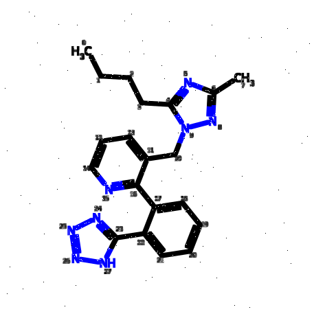 CCCCc1nc(C)nn1Cc1cccnc1-c1ccccc1-c1nnn[nH]1